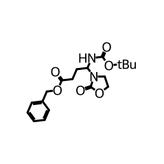 CC(C)(C)OC(=O)NC(CCC(=O)OCc1ccccc1)N1CCOC1=O